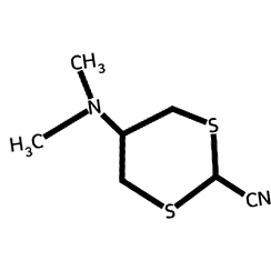 CN(C)C1CSC(C#N)SC1